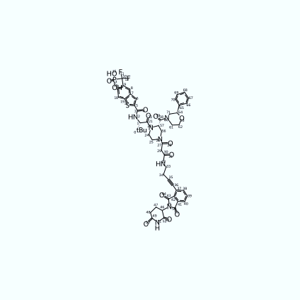 CC(C)(C)[C@H](NC(=O)c1cc2cc(C(F)(F)P(=O)(O)O)ccc2s1)C(=O)N1CCN(C(=O)CC(=O)NCCC#Cc2cccc3c2C(=O)N(C2CCC(=O)NC2=O)C3=O)C[C@H]1C(=O)N1CCO[C@H](c2ccccc2)C1